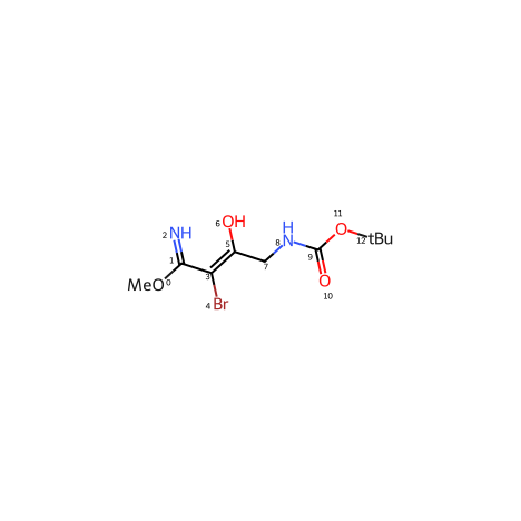 COC(=N)/C(Br)=C(\O)CNC(=O)OC(C)(C)C